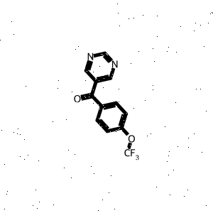 O=C(c1ccc(OC(F)(F)F)cc1)c1cncnc1